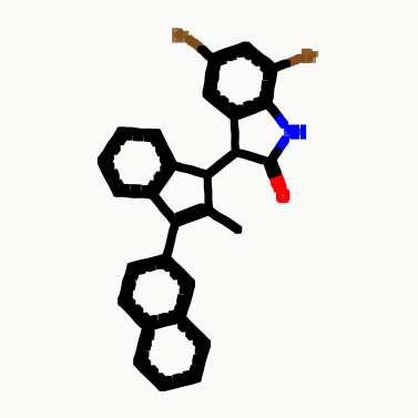 CC1=C(c2ccc3ccccc3c2)c2ccccc2C1C1C(=O)Nc2c(Br)cc(Br)cc21